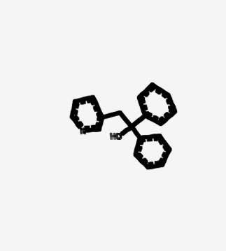 OC(Cc1cccnc1)(c1ccccc1)c1ccccc1